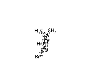 CCCCN(CCCC)c1ccc(/C=C/C(=O)OCCCBr)c(O)c1